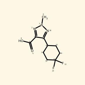 Cn1nc(C(=O)O)c(C2CCC(F)(F)CC2)n1